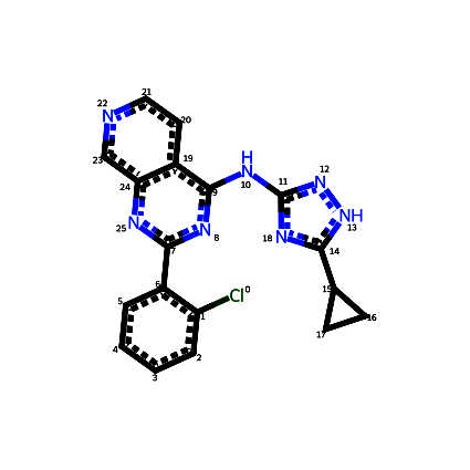 Clc1ccccc1-c1nc(Nc2n[nH]c(C3CC3)n2)c2ccncc2n1